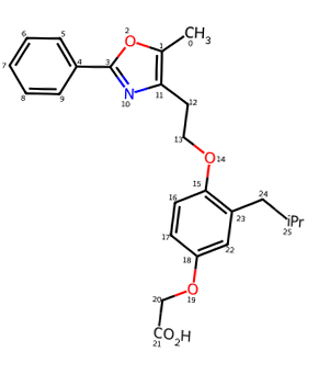 Cc1oc(-c2ccccc2)nc1CCOc1ccc(OCC(=O)O)cc1CC(C)C